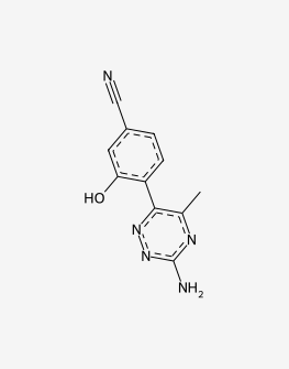 Cc1nc(N)nnc1-c1ccc(C#N)cc1O